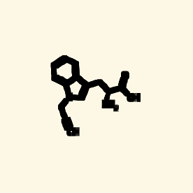 C#CCn1cc(C[C@H](N)C(=O)O)c2ccccc21